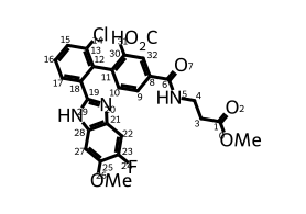 COC(=O)CCNC(=O)c1ccc(-c2c(Cl)cccc2-c2nc3cc(F)c(OC)cc3[nH]2)c(C(=O)O)c1